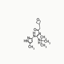 Cc1cc(N/C(=N\C(=O)CC2COC2)NC(C)(C)C)n[nH]1